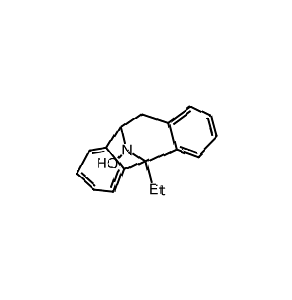 CCC12c3ccccc3CC(c3ccccc31)N2O